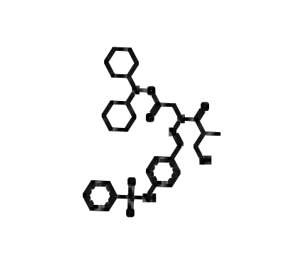 CC(CS)C(=O)N(CC(=O)ON(C1CCCCC1)C1CCCCC1)N=Cc1ccc(NS(=O)(=O)c2ccccc2)cc1